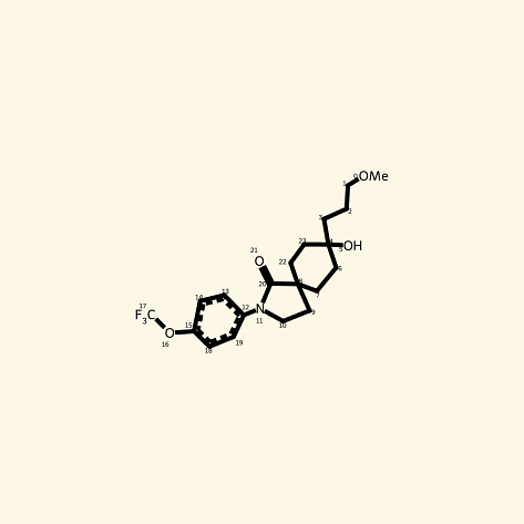 COCCCC1(O)CCC2(CCN(c3ccc(OC(F)(F)F)cc3)C2=O)CC1